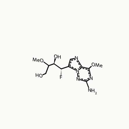 COc1nc(N)nn2c([C@H](F)[C@H](O)C(CO)OC)cnc12